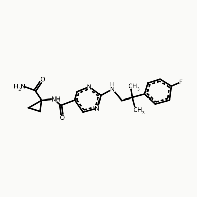 CC(C)(CNc1ncc(C(=O)NC2(C(N)=O)CC2)cn1)c1ccc(F)cc1